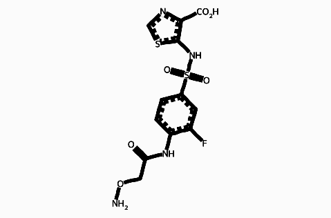 NOCC(=O)Nc1ccc(S(=O)(=O)Nc2scnc2C(=O)O)cc1F